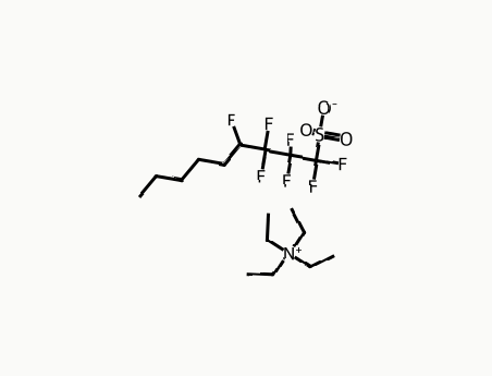 CCCCCC(F)C(F)(F)C(F)(F)C(F)(F)S(=O)(=O)[O-].CC[N+](CC)(CC)CC